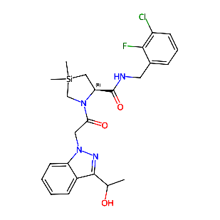 CC(O)c1nn(CC(=O)N2C[Si](C)(C)C[C@H]2C(=O)NCc2cccc(Cl)c2F)c2ccccc12